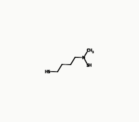 CN(S)CCCCS